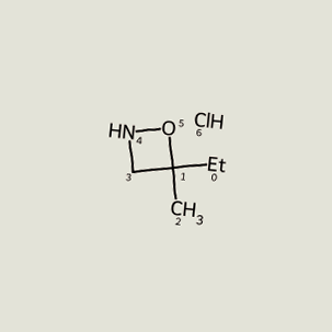 CCC1(C)CNO1.Cl